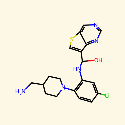 NCC1CCN(c2ccc(Cl)cc2NC(O)c2csc3cncnc23)CC1